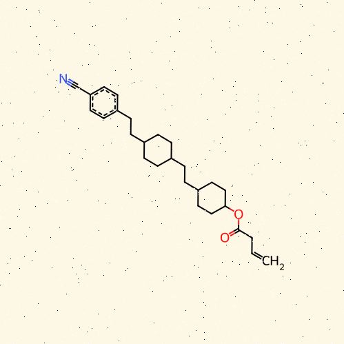 C=CCC(=O)OC1CCC(CCC2CCC(CCc3ccc(C#N)cc3)CC2)CC1